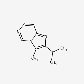 Cc1c(C(C)C)nc2ccncn12